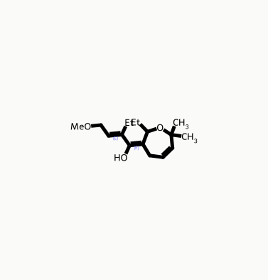 CCC(=C\COC)/C(O)=C1/CC=CC(C)(C)OC1CC